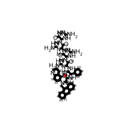 N=C(N)NC(NC(=O)C(NC(=N)N)NC(=O)C(NC(=N)N)NC(=O)C(NC(=N)N)NC(=O)C(NC(=O)C(O)N(Cc1c2ccccc2cc2ccccc12)c1ccc2ncccc2c1N)c1ccccc1)C(N)=O